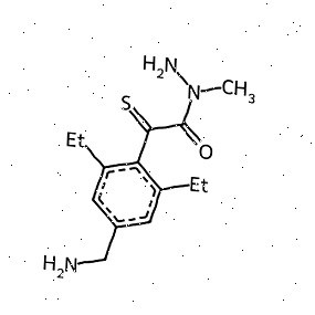 CCc1cc(CN)cc(CC)c1C(=S)C(=O)N(C)N